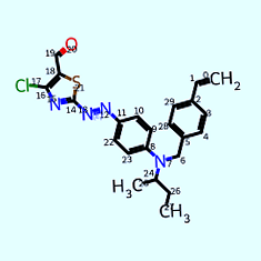 C=Cc1ccc(CN(c2ccc(/N=N/c3nc(Cl)c(C=O)s3)cc2)C(C)CC)cc1